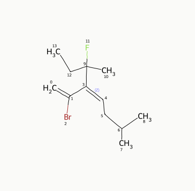 C=C(Br)/C(=C\CC(C)C)C(C)(F)CC